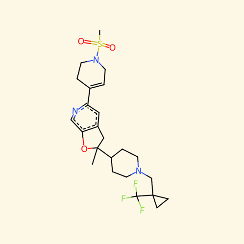 CC1(C2CCN(CC3(C(F)(F)F)CC3)CC2)Cc2cc(C3=CCN(S(C)(=O)=O)CC3)ncc2O1